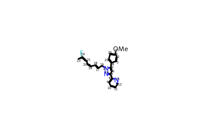 COc1ccc(-c2cc(-c3ccccn3)nn2C/C=C/C=C\C=C(/C)F)cc1